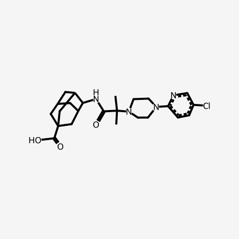 CC(C)(C(=O)NC1C2CC3CC1CC(C(=O)O)(C3)C2)N1CCN(c2ccc(Cl)cn2)CC1